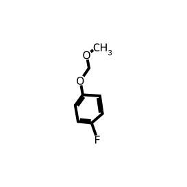 COCOc1ccc(F)cc1